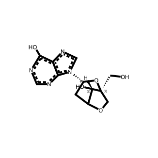 OC[C@@]12COC(C[C@H](n3cnc4c(O)ncnc43)O1)[C@@H]2O